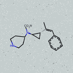 CC(=Cc1ccccc1)[C@@H]1C[C@H]1N(C(=O)O)C1CCNCC1